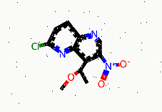 COC(C)c1c([N+](=O)[O-])cnc2ccc(Cl)nc12